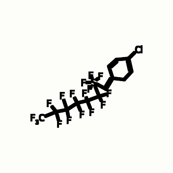 FC(F)(F)C(F)(F)C(F)(F)C(F)(F)C(F)(F)C(F)(F)S(F)(F)(F)(F)C=C1C=CC(Cl)=CC1